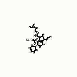 C/C=C/[C@@H]1C(C)C(NOCCN(C)C)[C@]2(OC(=O)C(=O)O)C[C@@H](c3ccccc3)CC[C@]12C